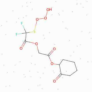 O=C(COC(=O)C(F)(F)SOOO)OC1CCCCC1=O